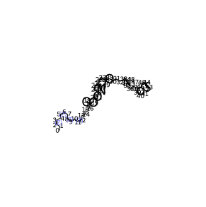 CC/C=C\C/C=C\C/C=C\C/C=C\CCCCC(=O)OCOc1ccc2ccc(OCCCCN3CCC(c4cccc5sccc45)CC3)cc2n1